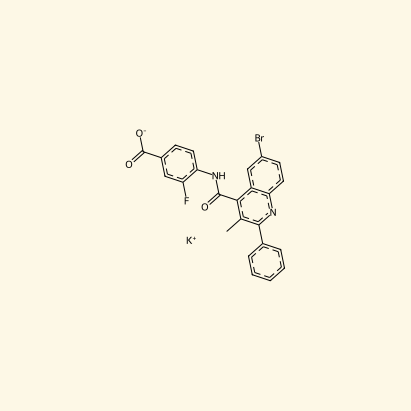 Cc1c(-c2ccccc2)nc2ccc(Br)cc2c1C(=O)Nc1ccc(C(=O)[O-])cc1F.[K+]